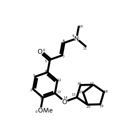 COc1ccc(C(=O)C=CN(C)C)cc1OC1CC2CCC1C2